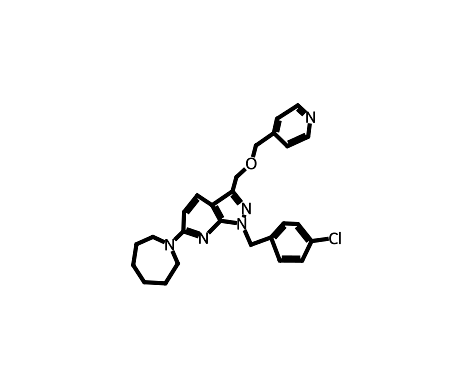 Clc1ccc(Cn2nc(COCc3ccncc3)c3ccc(N4CCCCCC4)nc32)cc1